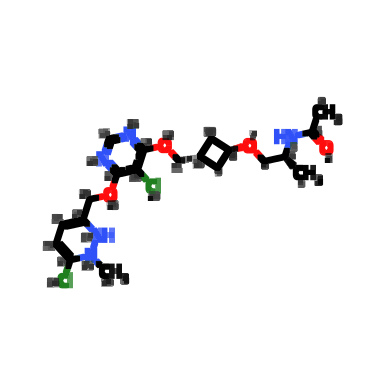 CC(=O)N[C@@H](C)CO[C@H]1C[C@H](COc2ncnc(OCC3=CC=C(Cl)N(C)N3)c2Cl)C1